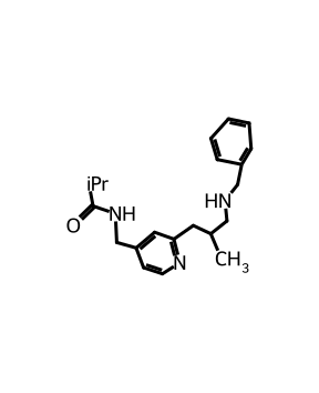 CC(CNCc1ccccc1)Cc1cc(CNC(=O)C(C)C)ccn1